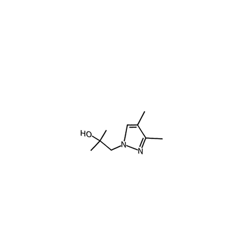 Cc1cn(CC(C)(C)O)nc1C